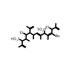 C=C(C)C(CC)/C(=C(/C)C(/C(C)=C/C(C)C(C(=C)C)C(CC)C(C)C(C(=C)C)S(=O)(=O)O)S(=O)(=O)O)C(C)CC